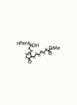 CCCCCC(O)CCN1CCC(=O)C1CCCCCCC(=O)OC